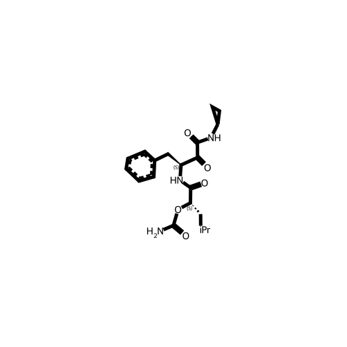 CC(C)C[C@H](OC(N)=O)C(=O)N[C@@H](Cc1ccccc1)C(=O)C(=O)NC1CC1